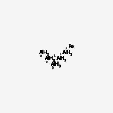 [AlH3].[AlH3].[AlH3].[AlH3].[AlH3].[Fe]